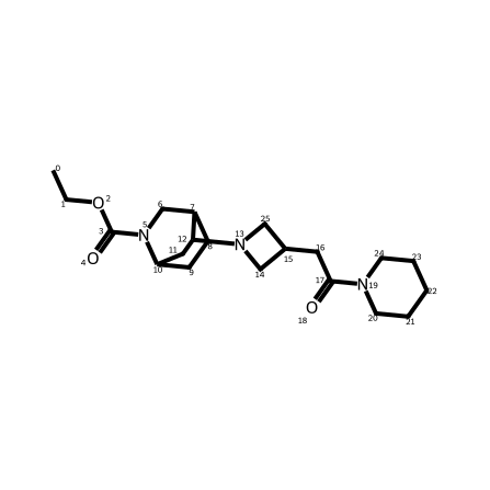 CCOC(=O)N1CC2CCC1CC2N1CC(CC(=O)N2CCCCC2)C1